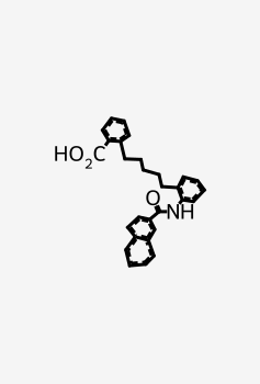 O=C(Nc1ccccc1CCCCCc1ccccc1C(=O)O)c1ccc2ccccc2c1